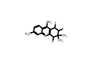 Cc1ccc2c(N)c3c(nc2c1)C(F)C(C)(C)C(F)C3F